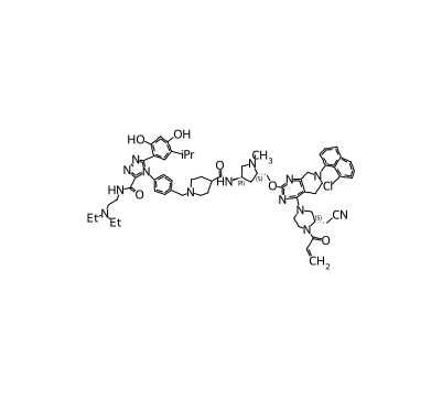 C=CC(=O)N1CCN(c2nc(OC[C@@H]3C[C@@H](NC(=O)C4CCN(Cc5ccc(-n6c(C(=O)NCCN(CC)CC)nnc6-c6cc(C(C)C)c(O)cc6O)cc5)CC4)CN3C)nc3c2CCN(c2cccc4cccc(Cl)c24)C3)C[C@@H]1CC#N